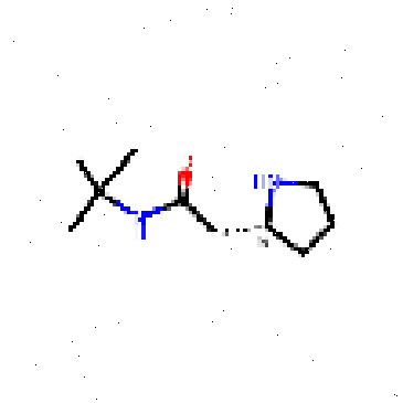 CC(C)(C)NC(=O)C[C@H]1CCCN1